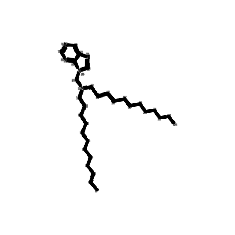 CCCCCCCCCCCCN(CCCCCCCCCCCC)Cn1cnc2cncnc21